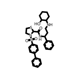 O=C(NC(CCNC1CCCCC1O)c1ccccc1)C1SCCN1S(=O)(=O)c1ccc(-c2ccccc2)cc1